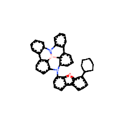 c1ccc2c(c1)-c1cccc3c1B1c4c(cccc4N3c3cccc4c3oc3c(C5CCCCC5)cccc34)-c3ccccc3N12